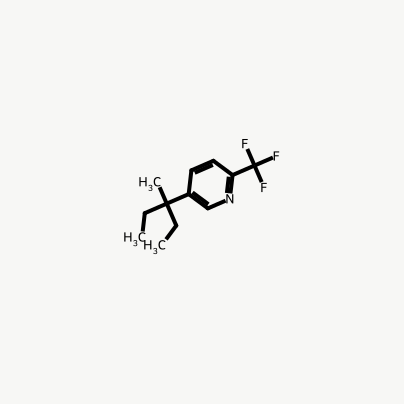 CCC(C)(CC)c1ccc(C(F)(F)F)nc1